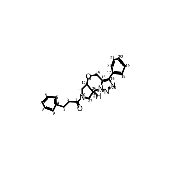 O=C(CCc1ccccc1)N1CC2OCc3c(-c4ccccc4)nnn3[C@@H]2C1